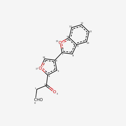 O=CCC(=O)c1cc(-c2cc3ccccc3o2)co1